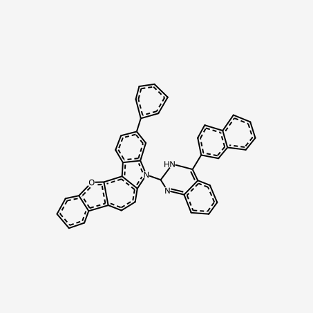 c1ccc(-c2ccc3c4c5oc6ccccc6c5ccc4n(C4N=c5ccccc5=C(c5ccc6ccccc6c5)N4)c3c2)cc1